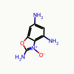 Nc1cc(N)c2c(c1)oc(N)[n+]2[O-]